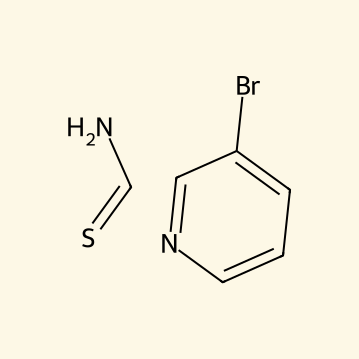 Brc1cccnc1.NC=S